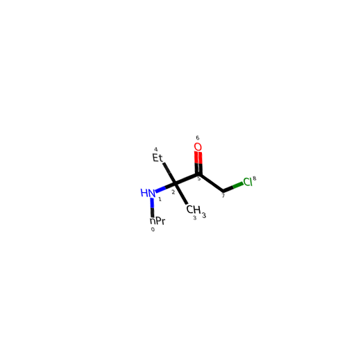 CCCNC(C)(CC)C(=O)CCl